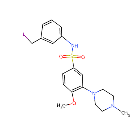 COc1ccc(S(=O)(=O)Nc2cccc(CI)c2)cc1N1CCN(C)CC1